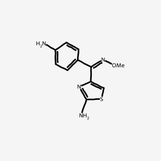 CON=C(c1ccc(N)cc1)c1csc(N)n1